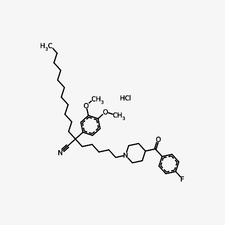 CCCCCCCCCCCC(C#N)(CCCCCN1CCC(C(=O)c2ccc(F)cc2)CC1)c1ccc(OC)c(OC)c1.Cl